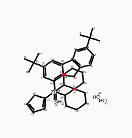 CC(C)(C)c1ccc2c(c1)-c1cc(C(C)(C)C)c[c]([Zr](=[SiH2])([C]3=CC=CC3)([CH]3CCCCC3)[CH]3CCCCC3)c1C2.Cl.Cl